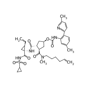 C=CCCCCN(C)C(=O)[C@@H]1C[C@H](OC(=O)Nc2cc(C)ccc2-c2ccc(C)cn2)C[C@H]1C(=O)N[C@]1(C(=O)NS(=O)(=O)C2CC2)C[C@H]1C=C